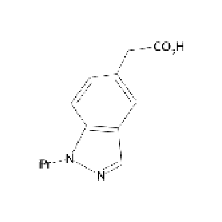 CC(C)n1ncc2cc(CC(=O)O)ccc21